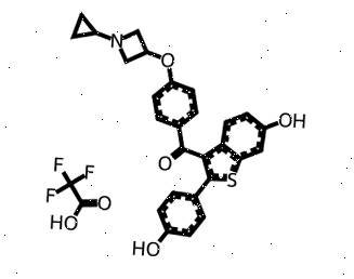 O=C(O)C(F)(F)F.O=C(c1ccc(OC2CN(C3CC3)C2)cc1)c1c(-c2ccc(O)cc2)sc2cc(O)ccc12